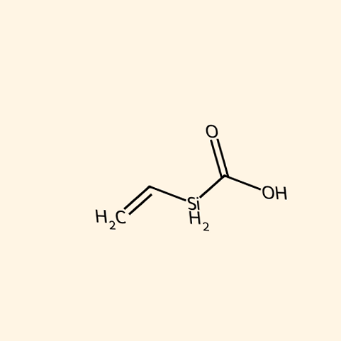 C=C[SiH2]C(=O)O